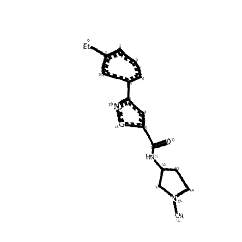 CCc1cccc(-c2cc(C(=O)NC3CCN(C#N)C3)on2)c1